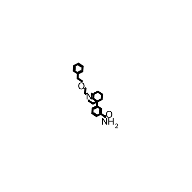 NC(=O)c1cccc(C23CCCC(C2)N(CCOCCc2ccccc2)CC3)c1